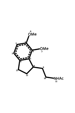 COc1ccc2c(c1OC)C(CCNC(C)=O)CC2